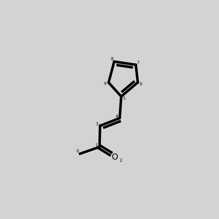 CC(=O)C=CC1=CC=CC1